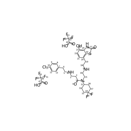 O=C(CCNCCc1ccc(Cl)cc1)N(CCNCCc1ccc(O)c2[nH]c(=O)sc12)C1CCC(F)(F)CC1.O=C(O)C(F)(F)F.O=C(O)C(F)(F)F